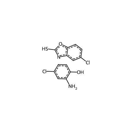 Nc1cc(Cl)ccc1O.Sc1nc2cc(Cl)ccc2o1